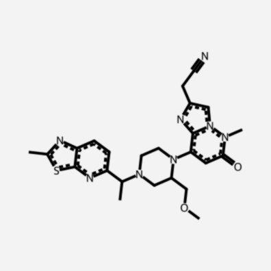 COCC1CN(C(C)c2ccc3nc(C)sc3n2)CCN1c1cc(=O)n(C)n2cc(CC#N)nc12